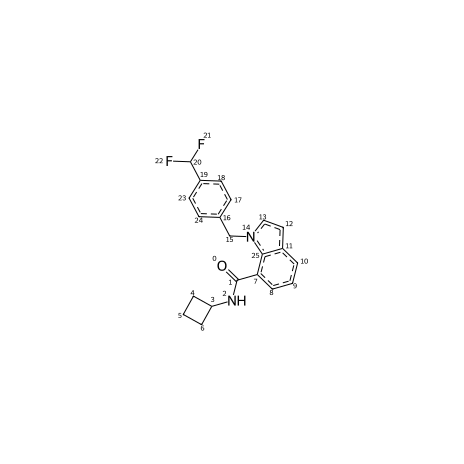 O=C(NC1CCC1)c1cccc2ccn(Cc3ccc(C(F)F)cc3)c12